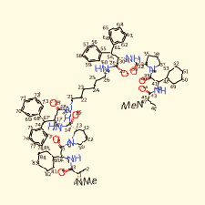 CN[C@@H](C)C(=O)NC(C(=O)N1CCC[C@H]1C(=O)N[C@H](C(=O)NCCCCCCNC(=O)[C@@H](NC(=O)[C@@H]1CCCN1C(=O)C(NC(=O)[C@H](C)NC)C1CCCCC1)C(c1ccccc1)c1ccccc1)C(c1ccccc1)c1ccccc1)C1CCCCC1